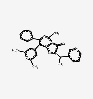 Cc1cc(-c2c(-c3ccccc3)nc(N)n3c(=O)n(C(C)c4cccnc4)nc23)cc(C)n1